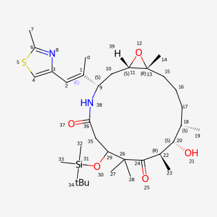 C/C(=C\c1csc(C)n1)[C@@H]1C[C@@H]2O[C@]2(C)CCC[C@H](C)[C@H](O)[C@@H](C)C(=O)C(C)(C)C(O[Si](C)(C)C(C)(C)C)CC(=O)N1